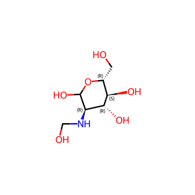 OCN[C@H]1C(O)O[C@H](CO)[C@@H](O)[C@@H]1O